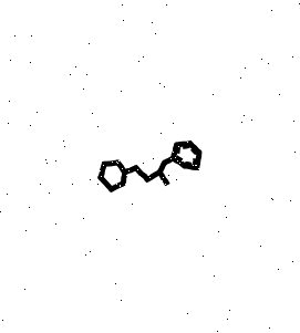 CC(CCC1CCCCC1)Cc1ccccc1